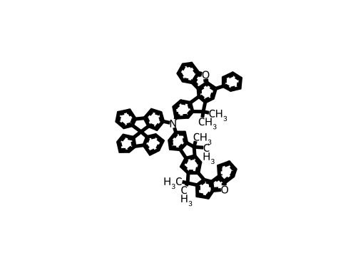 CC1(C)c2cc(N(c3ccc4c(c3)C(C)(C)c3cc(-c5ccccc5)c5oc6ccccc6c5c3-4)c3ccc4c(c3)C3(c5ccccc5-c5ccccc53)c3ccccc3-4)ccc2-c2cc3c(cc21)-c1c(ccc2oc4ccccc4c12)C3(C)C